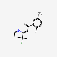 C=C(/C=C(\N=C/C)C(C)(C)F)c1cc(C(F)(F)F)ccc1C